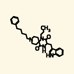 CCCN1C(=O)C(Cc2c[nH]c3ccccc23)NC(=O)C12CCN(CCCCCc1ccccc1)CC2